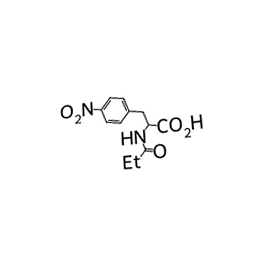 CCC(=O)NC(Cc1ccc([N+](=O)[O-])cc1)C(=O)O